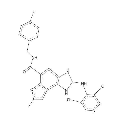 Cc1cc2c3c(cc(C(=O)NCc4ccc(F)cc4)c2o1)NC(Nc1c(Cl)cncc1Cl)N3